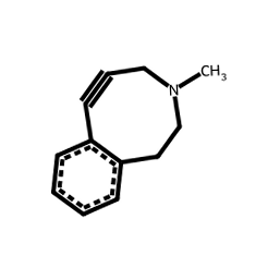 CN1CC#Cc2ccccc2CC1